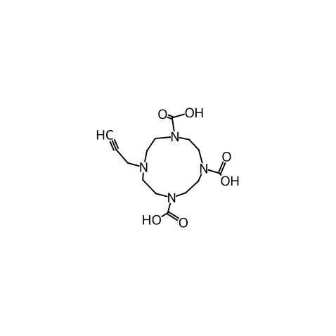 C#CCN1CCN(C(=O)O)CCN(C(=O)O)CCN(C(=O)O)CC1